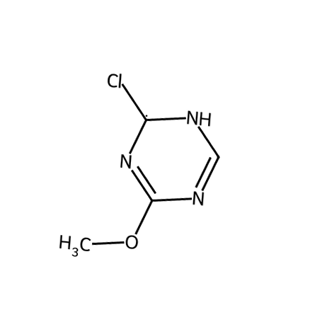 COC1=N[C](Cl)NC=N1